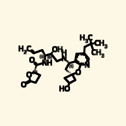 C=CC[C@H](NC(=O)[C@@H]1CCC(=O)O1)[C@H](O)CN[C@H]1C[C@]2(C[C@H](O)C2)Oc2ncc(CC(C)(C)C)cc21